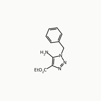 CCOC(=O)c1nnn(Cc2ccccc2)c1N